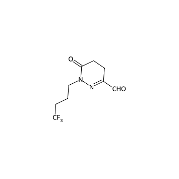 O=CC1=NN(CCCC(F)(F)F)C(=O)CC1